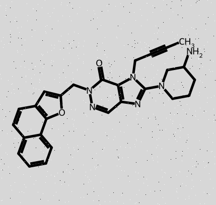 CC#CCn1c(N2CCCC(N)C2)nc2cnn(Cc3cc4ccc5ccccc5c4o3)c(=O)c21